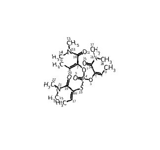 C/C=C(/OP(=O)(O/C(=C/C)C(=O)N(C)C)S/C(=C/C)C(=O)N(C)C)C(=O)N(C)C